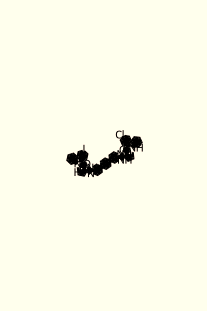 O=C(C(Nc1ccccc1)c1ccc(Cl)cc1)N1CCC[C@H]1c1nc2ccc(-c3ccc(-c4ccc5nc([C@@H]6CCCN6C(=O)C(Nc6ccccc6)c6ccc(I)cc6)[nH]c5c4)cc3)cc2[nH]1